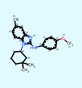 CC1(C)CCC[C@@H](n2c(Nc3ccc(OC(F)(F)F)cc3)nc3cc(C#N)ccc32)C1